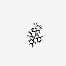 CC(=O)Oc1c2n(ncc1=O)[C@@H](C(c1cccc(F)c1)c1cccc(F)c1F)[C@H]1CCCN1C2=O